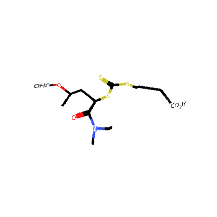 CC(CC(SC(=S)SCCC(=O)O)C(=O)N(C)C)OC=O